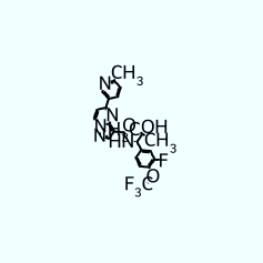 Cc1ccc(-c2ccn3ncc(C(=O)N[C@@H](c4ccc(OC(F)(F)F)c(F)c4)C(C)(C)O)c3n2)cn1